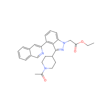 CCOC(=O)Cn1nc(C2CCN(C(C)=O)CC2)c2c(-c3cc4ccccc4cn3)cccc21